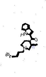 C/C=C1/CN(CCCC(C)C)CC[C@H]1C(=O)c1cc2ccccc2[nH]1